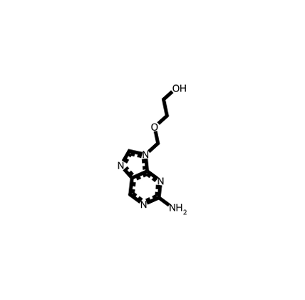 Nc1ncc2ncn(COCCO)c2n1